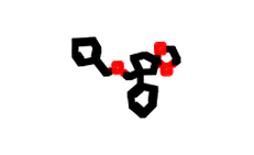 c1ccc(COCC2(c3ccccc3)CCC3(C2)OCCO3)cc1